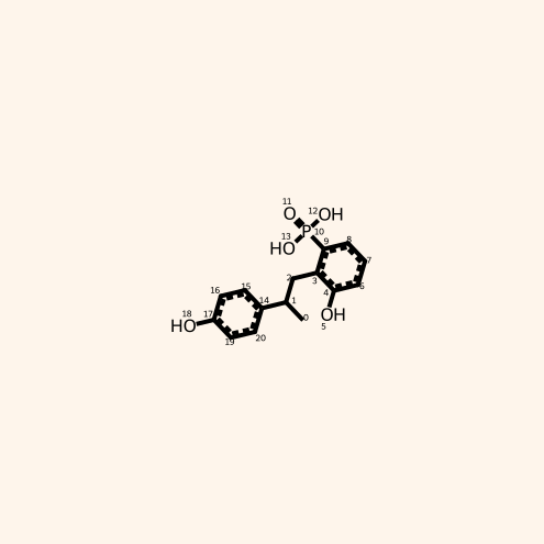 CC(Cc1c(O)cccc1P(=O)(O)O)c1ccc(O)cc1